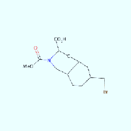 COC(=O)N1CC2CCC(CBr)CC2CC1C(=O)O